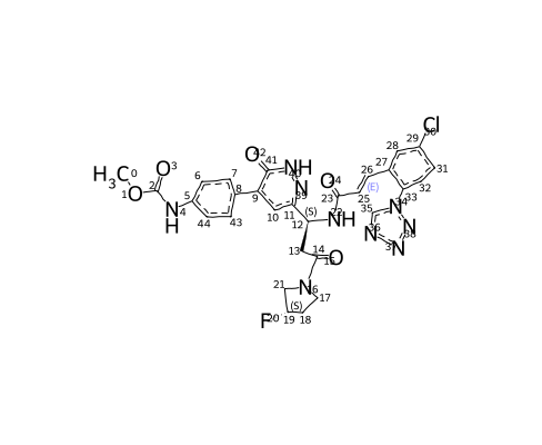 COC(=O)Nc1ccc(-c2cc([C@H](CC(=O)N3CC[C@H](F)C3)NC(=O)/C=C/c3cc(Cl)ccc3-n3cnnn3)n[nH]c2=O)cc1